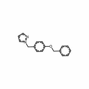 c1ccc(COc2ccc(Cn3cccn3)cc2)cc1